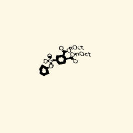 CCCCCCCCOC(=O)c1ccc(S(=O)(=O)Oc2ccccc2)cc1C(=O)OCCCCCCCC